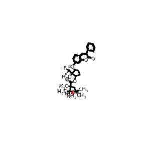 CC(C)(C)CC(C)(C(=O)OC1CCC(Oc2ccc3cc(-c4ccccc4)c(=O)oc3c2)C1(C)C(F)(F)F)C(C)(C)N